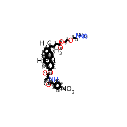 CC(CCC(=O)OCCOCCN=[N+]=[N-])C1CC[C@H]2[C@@H]3CC[C@@H]4C[C@H](OC(=O)C(CC(=O)O)NC(=O)c5ccc([N+](=O)[O-])cc5)CC[C@]4(C)[C@H]3CC[C@]12C